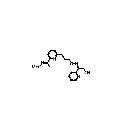 CO/N=C(\C)c1cccc(CCCON=C(CC#N)c2ccccn2)n1